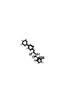 N#C[C@H](Cc1ccc(C2CCCCC2)cc1)NC(=O)[C@H]1N[C@@H]2CC[C@H]1C2